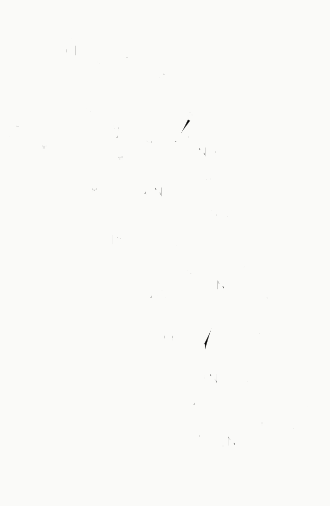 CC(C)C1=C(C(=O)N2C(C)CC[C@H]2C(=O)N2CCN(C)[C@@H](CO)C2)SC2=N[C@@](C)(c3ccc(Cl)cc3)[C@@H](c3ccc(Cl)cc3)N21